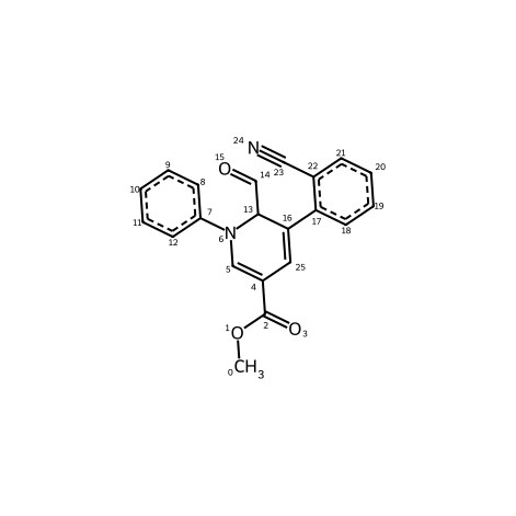 COC(=O)C1=CN(c2ccccc2)C(C=O)C(c2ccccc2C#N)=C1